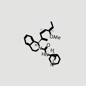 C=C(/C=C\C(=C/C)OC)[C@@H]1c2ccccc2CCN1C(=O)N[C@@H]1CN2CCC1CC2